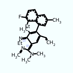 C=CC1=CC(=C(/N=C)N(C)C)/C(=N\CC)C(C)=C1c1cc(C)cc2ccc(F)c(CC)c12